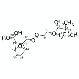 CCC(C)(C)C(=O)OCCOOCC1C2C=CC(O2)C1C(O)O